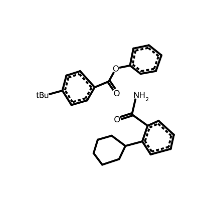 CC(C)(C)c1ccc(C(=O)Oc2ccccc2)cc1.NC(=O)c1ccccc1C1CCCCC1